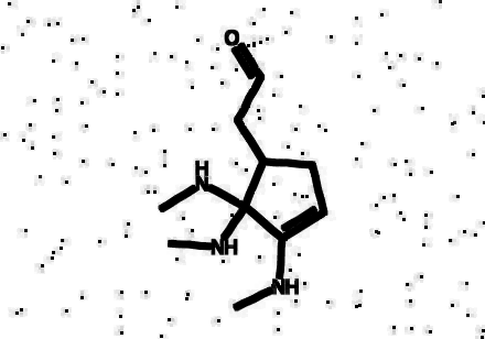 CNC1=CCC(CC=O)C1(NC)NC